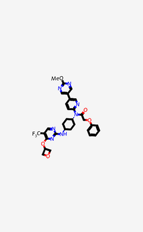 COc1ncc(-c2ccc(N(C(=O)COc3ccccc3)[C@H]3CC[C@H](Nc4ncc(C(F)(F)F)c(OC5COC5)n4)CC3)nc2)cn1